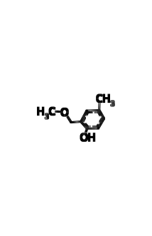 COCc1cc(C)ccc1O